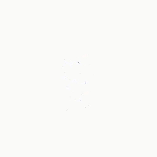 C=CC(=O)Nc1ccc(F)c(Nc2nc(Nc3cnn(C)c3)ncc2C(=O)N(C)c2ccccc2)c1